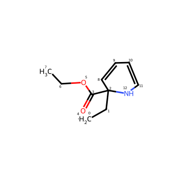 [CH2]CC1(C(=O)OCC)C=CC=CN1